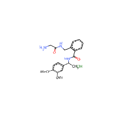 COc1ccc(C(C)NC(=O)c2ccccc2CNC(=O)CN)cc1OC.Cl